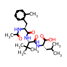 CC(=O)N[C@@H](Cc1ccccc1C)C(=O)N[C@H](C(=O)N[C@@H](CC(C)C)C(=O)O)C(C)(C)C